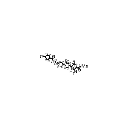 CC[C@H]1CN(c2nc(N)c(C(=O)NC)nc2Cl)CCN1C1CCN(CCCC(=O)c2ccc(Cl)cc2)CC1